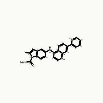 CNC(=O)n1c(C)cc2cc(Nc3ccnc4cc(-c5ccccn5)ccc34)ccc21